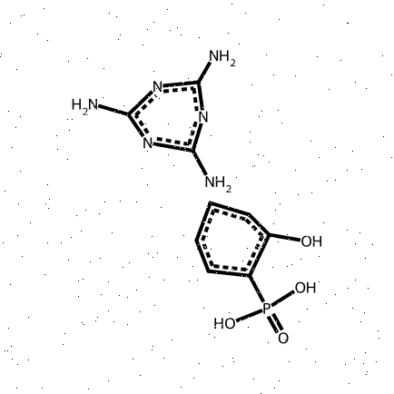 Nc1nc(N)nc(N)n1.O=P(O)(O)c1ccccc1O